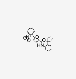 CCC1(CC)OC(c2ccc(-c3ccccc3[N+](=O)[O-])o2)Nc2ccccc21